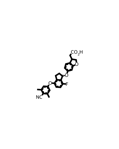 Cc1cc(Oc2ccc(F)c3c2CC[C@H]3Oc2ccc3c(c2)OCC3CC(=O)O)cc(C)c1C#N